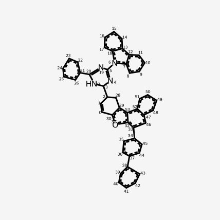 C1=CC(C2N=C(n3c4ccccc4c4ccccc43)N=C(c3ccccc3)N2)Cc2c1oc1c(-c3ccc(-c4ccccc4)cc3)cc3ccccc3c21